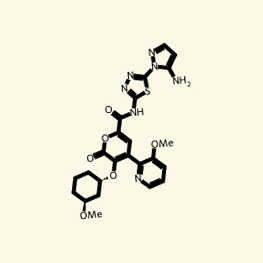 COc1cccnc1-c1cc(C(=O)Nc2nnc(-n3nccc3N)s2)oc(=O)c1O[C@H]1CCC[C@H](OC)C1